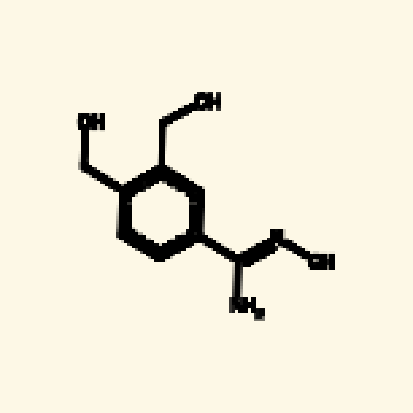 N/C(=N\O)c1ccc(CO)c(CO)c1